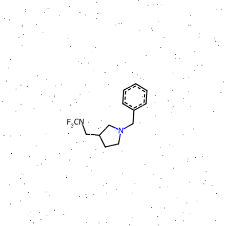 FC(F)(F)NCC1CCN(Cc2ccccc2)C1